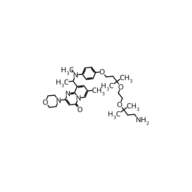 Cc1cc(C(C)N(C)c2ccc(OCCC(C)(C)OCCOC(C)(C)CCN)cc2)c2nc(N3CCOCC3)cc(=O)n2c1